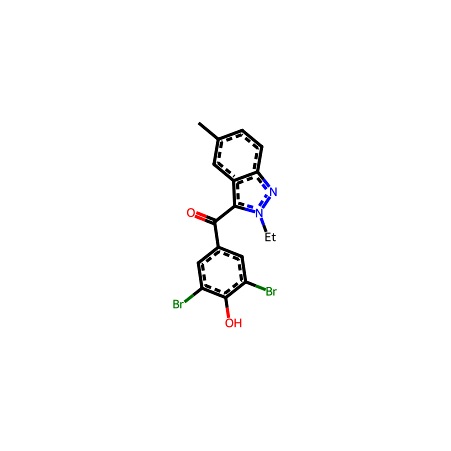 CCn1nc2ccc(C)cc2c1C(=O)c1cc(Br)c(O)c(Br)c1